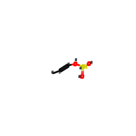 CC#CO[SH](=O)=O